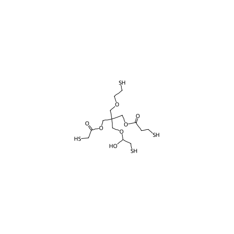 O=C(CS)OCC(COCCS)(COC(=O)CCS)COC(O)CS